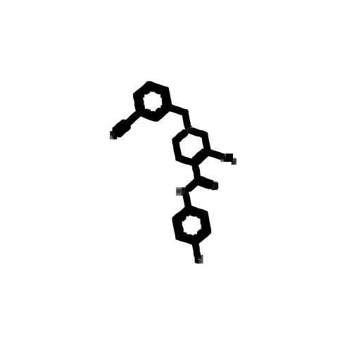 N#Cc1cccc(CN2CCC(C(=O)Nc3ccc(Cl)cc3)=C(N)C2)c1